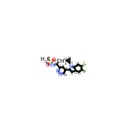 CC(NS(C)(=O)=O)c1cc(-c2cc3cc(F)c(F)cc3n2C2CC2)cnn1